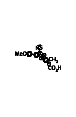 COc1ccc(-c2ccc3c(c2)c(-c2nccs2)cn3S(=O)(=O)c2ccc(OCC(=O)O)c(C)c2)cc1